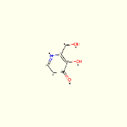 O=C1CC=NC(CO)=C1O